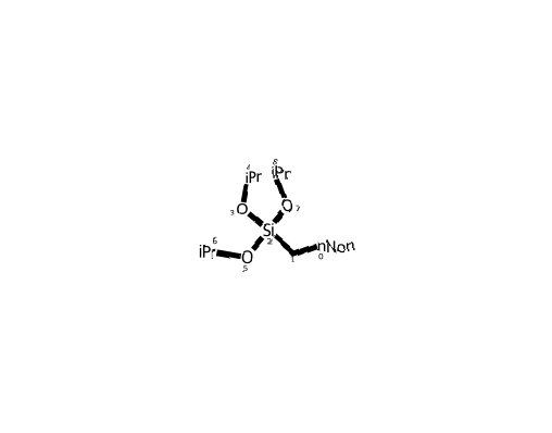 CCCCCCCCCC[Si](OC(C)C)(OC(C)C)OC(C)C